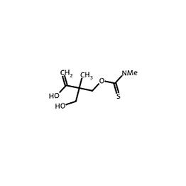 C=C(O)C(C)(CO)COC(=S)NC